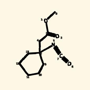 COC(=O)CC1(N=C=O)CCCCC1